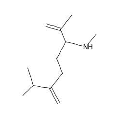 C=C(CCC(NC)C(=C)C)C(C)C